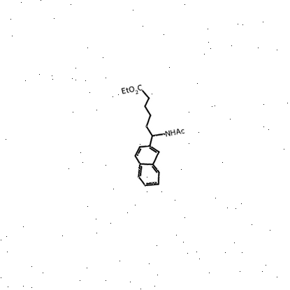 CCOC(=O)CCCCC(NC(C)=O)c1ccc2ccccc2c1